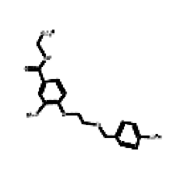 COc1ccc(COCCOc2ccc(C(=O)NCC(=O)O)cc2OC)cc1